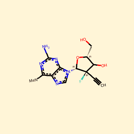 C#C[C@@]1(F)C(O)[C@@H](CO)O[C@H]1n1cnc2c(NC)nc(N)nc21